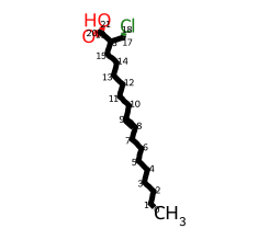 CCCCCCCCC=CCCCCCCC(CCl)C(=O)O